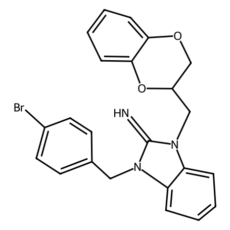 N=c1n(Cc2ccc(Br)cc2)c2ccccc2n1CC1COc2ccccc2O1